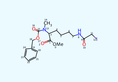 COC(=O)C(CCCCNC(=O)CI)N(C)C(=O)OCc1ccccc1